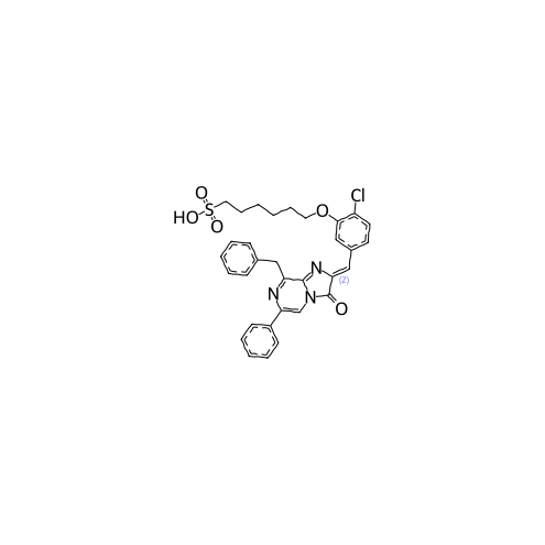 O=C1/C(=C/c2ccc(Cl)c(OCCCCCCS(=O)(=O)O)c2)N=C2C(Cc3ccccc3)=NC(c3ccccc3)=CN12